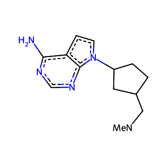 CNCC1CCC(n2ccc3c(N)ncnc32)C1